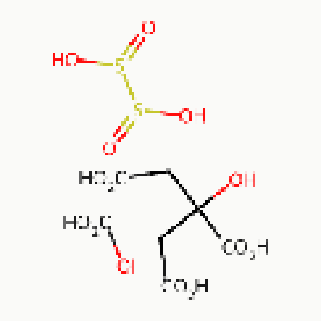 O=C(O)CC(O)(CC(=O)O)C(=O)O.O=C(O)O.O=S(O)S(=O)O